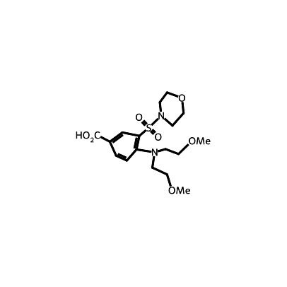 COCCN(CCOC)c1ccc(C(=O)O)cc1S(=O)(=O)N1CCOCC1